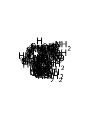 COc1cccc2c1C(=O)c1c(O)c3c(c(O)c1C2=O)C[C@@](O)(C(=O)CO)C[C@@H]3O[C@H]1C[C@H](N)C[C@H](C)O1.Cc1c(N)nc([C@H](CC(N)=O)NC[C@H](N)C(N)=O)nc1C(=O)N[C@H](C(=O)N[C@H](C)[C@@H](O)[C@H](C)C(=O)N[C@H](C(=O)NCCc1nc(-c2nc(C(=O)NCCC[S+](C)C)cs2)cs1)[C@@H](C)O)[C@@H](O[C@@H]1O[C@@H](CO)[C@@H](O)[C@H](O)[C@@H]1O[C@H]1O[C@H](CO)[C@@H](O)[C@H](OC(N)=O)[C@@H]1O)c1cnc[nH]1